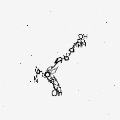 Cc1c(COc2cc(OCc3cncc(C#N)c3)c(CNC[C@@H](O)CC(=O)O)cc2Cl)cccc1-c1cccc(OCc2ccc(CNC[C@@H](O)CC(=O)O)cc2)c1C